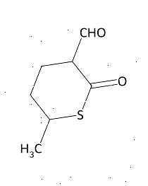 CC1CCC(C=O)C(=O)S1